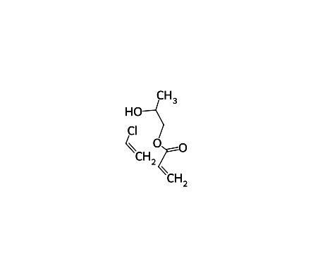 C=CC(=O)OCC(C)O.C=CCl